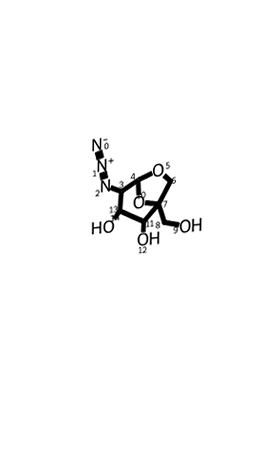 [N-]=[N+]=NC1C2OCC(CO)(O2)C(O)C1O